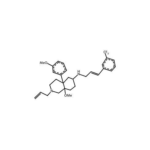 C=CCN1CCC2(c3cccc(OC)c3)CC(NC/C=C/c3cccc(C(F)(F)F)c3)CCC2(OC)C1